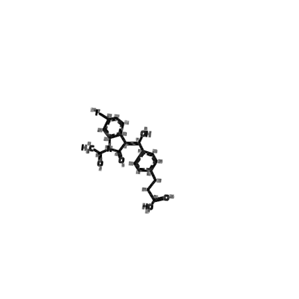 CC(=O)N1C(=O)C(=C(O)c2ccc(CCC(=O)O)cc2)c2ccc(F)cc21